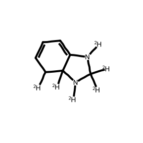 [2H]C1C=CC=C2N([2H])C([2H])([2H])N([2H])C21[2H]